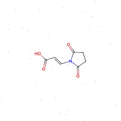 O=C(O)C=CN1C(=O)CCC1=O